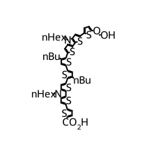 CCCCCCn1c2cc(-c3ccc(OCO)s3)sc2c2sc(-c3sc(-c4cc(CCCC)c(-c5cc6c(s5)c5sc(-c7ccc(C(=O)O)s7)cc5n6CCCCCC)s4)cc3CCCC)cc21